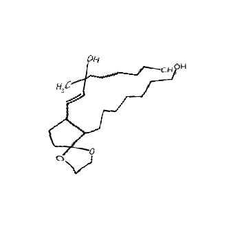 CCCCCC(C)(O)C=CC1CCC2(OCCO2)C1CCCCCCCO